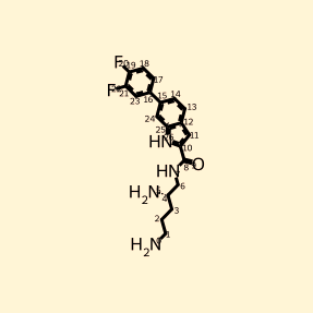 NCCC[C@H](N)CNC(=O)c1cc2ccc(-c3ccc(F)c(F)c3)cc2[nH]1